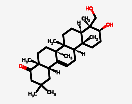 CC1(C)CC(=O)[C@]2(C)CC[C@]3(C)C(=CC[C@@H]4[C@@]5(C)CC[C@H](O)[C@](C)(CO)[C@@H]5CC[C@]43C)[C@@H]2C1